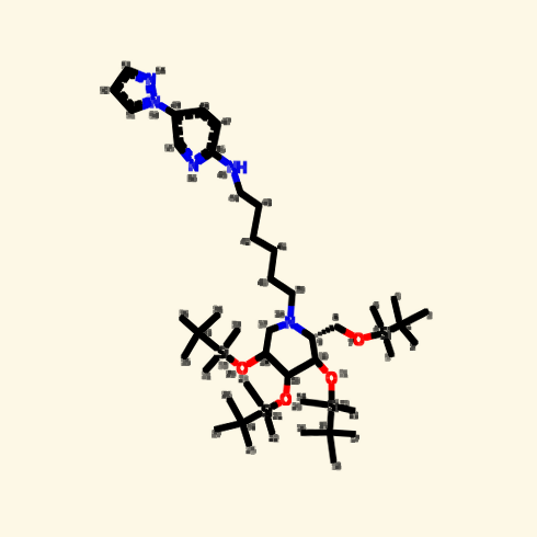 CC(C)(C)[Si](C)(C)OC[C@@H]1C(O[Si](C)(C)C(C)(C)C)C(O[Si](C)(C)C(C)(C)C)C(O[Si](C)(C)C(C)(C)C)CN1CCCCCCNc1ccc(-n2cccn2)cn1